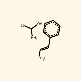 CCC(N)O.O=C(O)C=Cc1ccccc1